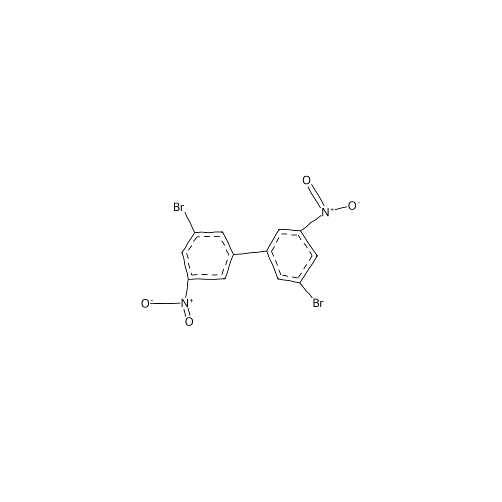 O=[N+]([O-])c1cc(Br)cc(-c2cc(Br)cc([N+](=O)[O-])c2)c1